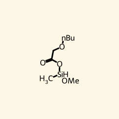 CCCCOCC(=O)O[SiH](C)OC